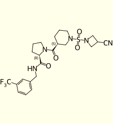 N#CC1CN(S(=O)(=O)N2CCC[C@H](C(=O)N3CCC[C@@H]3C(=O)NCc3cccc(C(F)(F)F)c3)C2)C1